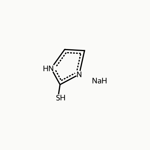 Sc1ncc[nH]1.[NaH]